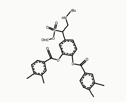 Cc1ccc(C(=O)Oc2ccc(C(CNC(C)(C)C)S(=O)(=O)OC=O)cc2OC(=O)c2ccc(C)c(C)c2)cc1C